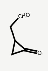 O=CCC1CC1=O